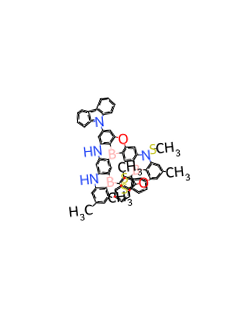 CSN1c2cc3c(cc2B2c4sc5ccccc5c4Oc4cc(C)cc1c42)B1c2cc4c(cc2Nc2cc(-n5c6ccccc6c6ccccc65)cc(c21)O3)Nc1cc(C)cc(C)c1B4c1sc2ccccc2c1C